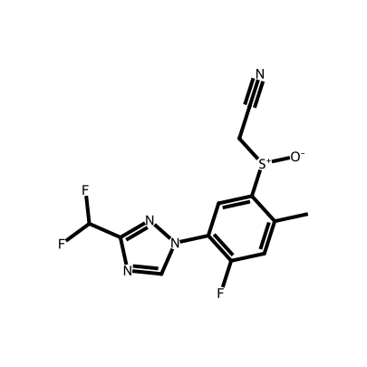 Cc1cc(F)c(-n2cnc(C(F)F)n2)cc1[S+]([O-])CC#N